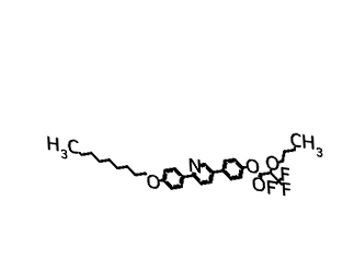 CCCCCCCCCOc1ccc(-c2ccc(-c3ccc(OC(=O)C(OCCCC)C(F)(F)F)cc3)cn2)cc1